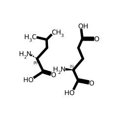 CC(C)C[C@@H](N)C(=O)O.N[C@@H](CCC(=O)O)C(=O)O